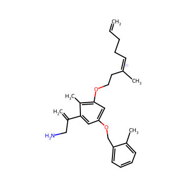 C=CCC/C=C(/C)CCOc1cc(OCc2ccccc2C)cc(C(=C)CN)c1C